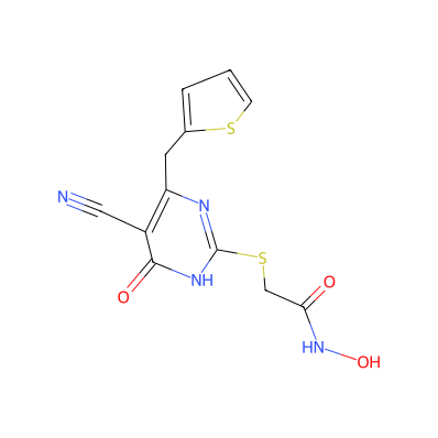 N#Cc1c(Cc2cccs2)nc(SCC(=O)NO)[nH]c1=O